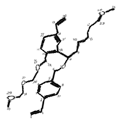 C=Cc1ccc(COC(CCCCCOC)c2cc(C=C)ccc2COCOCOC)cc1